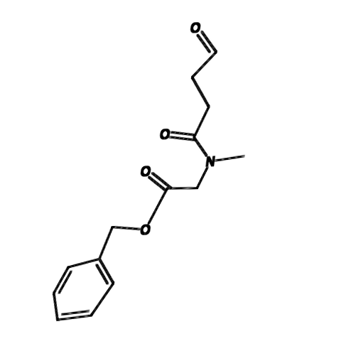 CN(CC(=O)OCc1ccccc1)C(=O)CCC=O